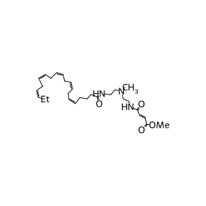 CC/C=C\C/C=C\C/C=C\C/C=C\C/C=C\CCCC(=O)NCCN(C)CCNC(=O)C=CC(=O)OC